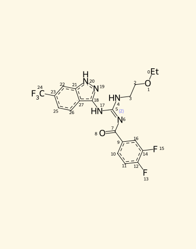 CCOCCN/C(=N/C(=O)c1ccc(F)c(F)c1)Nc1n[nH]c2cc(C(F)(F)F)ccc12